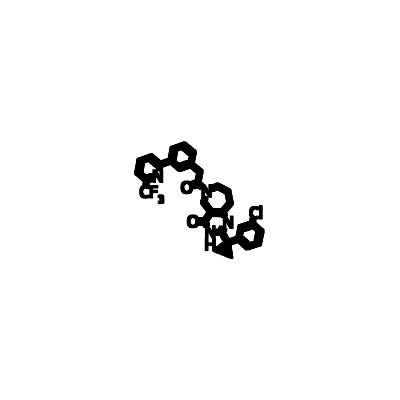 O=C(Cc1cccc(-c2cccc(C(F)(F)F)n2)c1)N1CCCc2nc(C3(c4cccc(Cl)c4)CC3)[nH]c(=O)c2C1